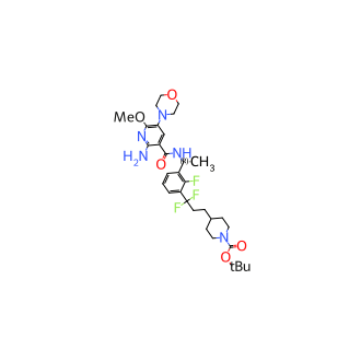 COc1nc(N)c(C(=O)N[C@H](C)c2cccc(C(F)(F)CCC3CCN(C(=O)OC(C)(C)C)CC3)c2F)cc1N1CCOCC1